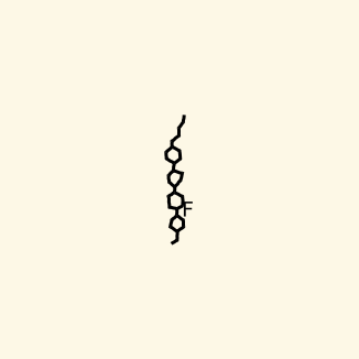 CCCCCC1CCC(C2CCC(C3CCC(C4CCC(CC)CC4)C(F)C3)CC2)CC1